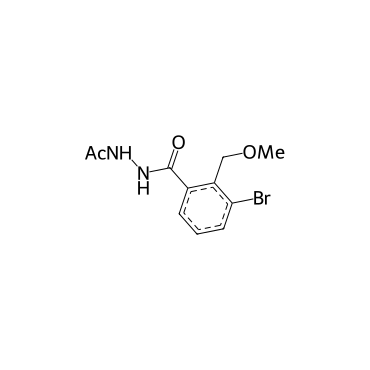 COCc1c(Br)cccc1C(=O)NNC(C)=O